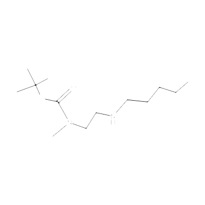 CCCCCNCCN(C)C(=O)OC(C)(C)C